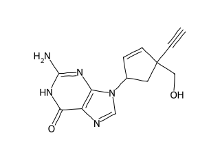 C#CC1(CO)C=CC(n2cnc3c(=O)[nH]c(N)nc32)C1